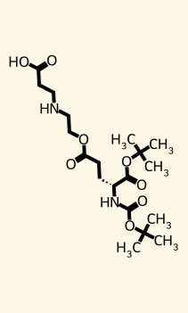 CC(C)(C)OC(=O)N[C@H](CCC(=O)OCCNCCC(=O)O)C(=O)OC(C)(C)C